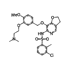 COc1ccc(COc2c(NS(=O)(=O)c3cccc(Cl)c3C)ncc3c2OCC3)cc1OCCN(C)C